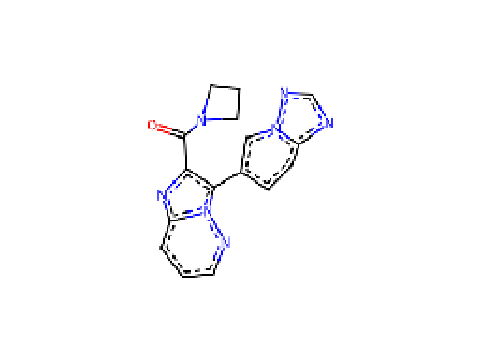 O=C(c1nc2cccnn2c1-c1ccc2ncnn2c1)N1CCC1